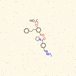 NN=Cc1ccc(C(=O)N2CCC[C@@H]2C(=O)c2ccc(OCC(=O)O)c(CCc3ccccc3)c2)cc1